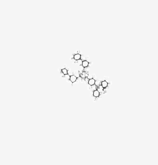 c1ccc(-c2cccc(-c3nc(-c4ccc(N5c6ccccc6Sc6ccccc65)cc4)nc(-c4cccc(-c5ccccc5)c4)n3)c2)cc1